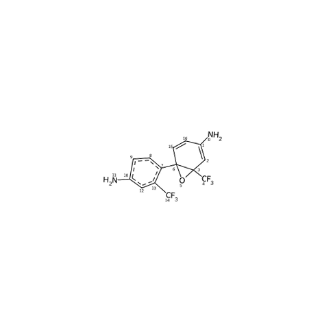 NC1=CC2(C(F)(F)F)OC2(c2ccc(N)cc2C(F)(F)F)C=C1